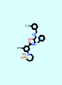 CCCc1cc(C(=O)N[C@@H](Cc2ccccc2)[C@@H](O)CNCc2cccc(C(F)(F)F)c2)cc(N2CC=CCCS2(O)O)c1